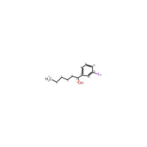 CCCCCC(O)c1cccc(I)c1